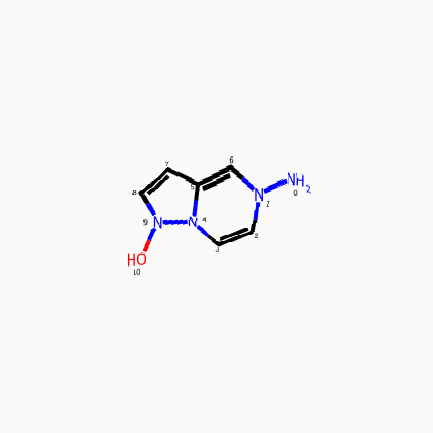 NN1C=CN2C(=C1)C=CN2O